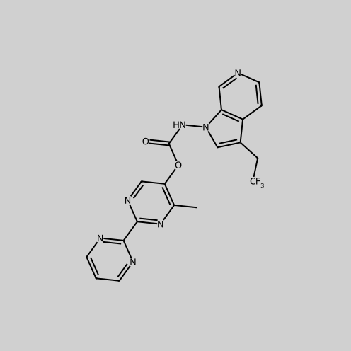 Cc1nc(-c2ncccn2)ncc1OC(=O)Nn1cc(CC(F)(F)F)c2ccncc21